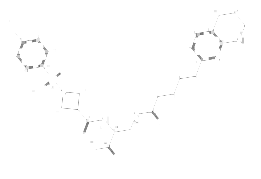 O=C(CCCCc1ccc2c(n1)NCCC2)NCC(NC(=O)C1CN(S(=O)(=O)c2ccc(F)cc2)C1)C(=O)O